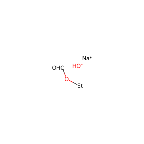 CCOC=O.[Na+].[OH-]